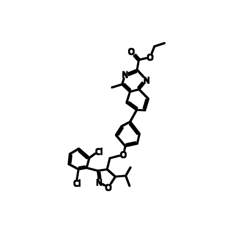 CCOC(=O)c1nc(C)c2cc(-c3ccc(OCC4C(c5c(Cl)cccc5Cl)=NOC4C(C)C)cc3)ccc2n1